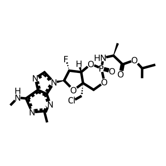 CNc1nc(C)nc2c1ncn2[C@@H]1O[C@]2(CCl)COP(=O)(N[C@@H](C)C(=O)OC(C)C)O[C@H]2[C@H]1F